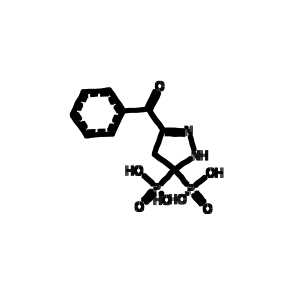 O=C(C1=NNC(P(=O)(O)O)(P(=O)(O)O)C1)c1ccccc1